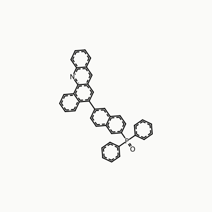 O=P(c1ccccc1)(c1ccccc1)c1ccc2cc(-c3cc4cc5ccccc5nc4c4ccccc34)ccc2c1